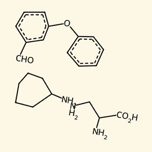 NC1CCCCC1.NCC(N)C(=O)O.O=Cc1cccc(Oc2ccccc2)c1